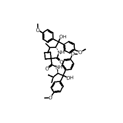 COc1ccc(C(O)(c2ccc(OC)cc2)[C@H](NC(=O)C2(C(=O)N[C@H](C(C)C)C(O)(c3ccc(OC)cc3)c3ccc(OC)cc3)CCC2)C(C)C)cc1